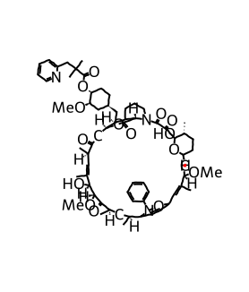 CO[C@H]1C[C@@H]2CC[C@@H](C)[C@@](O)(O2)C(=O)C(=O)N2CCCC3[C@H]2C(=O)O[C@@H](CC(=O)[C@H](C)/C=C(\C)[C@@H](O)[C@@H](OC)C(=O)[C@H](C)C[C@H](C)C2C=CC(/C=C/1C)ON2c1ccccc1)[C@H]3C[C@@H]1CC[C@@H](OC(=O)C(C)(C)Cc2ccccn2)[C@H](OC)C1